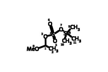 COC(C)OS(=O)(=O)O[Si](C)(C)C